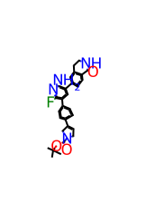 CC(C)(C)OC(=O)N1CC=C(c2ccc(-c3cc(-c4ccc5c(c4)CCNC5=O)c(N)nc3F)cc2)C1